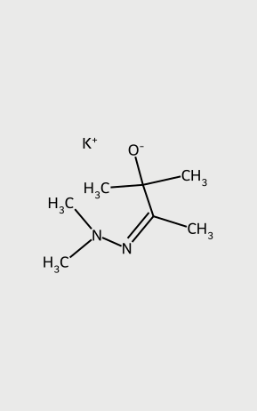 C/C(=N/N(C)C)C(C)(C)[O-].[K+]